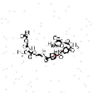 CCC(=O)COCC(=O)N[C@@H](C)C(=O)OCCCNC(=O)C12CCC(C(=O)N[C@@H]3CC[C@]4(CO4)[C@@H](C4(C)O[C@@H]4CC=C(C)C)[C@@H]3OC)(CC1)CC2